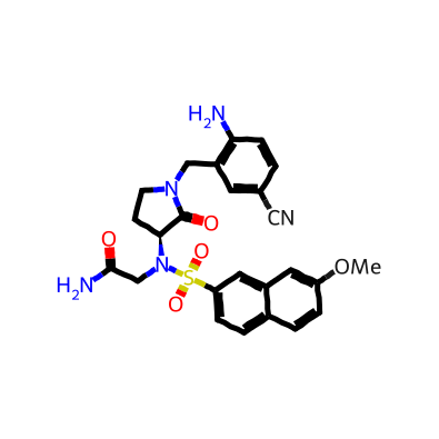 COc1ccc2ccc(S(=O)(=O)N(CC(N)=O)[C@H]3CCN(Cc4cc(C#N)ccc4N)C3=O)cc2c1